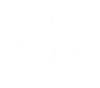 O=c1c2cccnc2c(-c2ccc(Cl)c([N+](=O)[O-])c2)nn1Cc1cc[n+]([O-])cc1